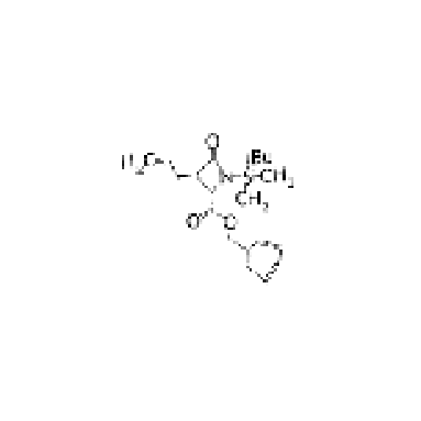 C=CC[C@H]1C(=O)N([Si](C)(C)C(C)(C)C)[C@@H]1C(=O)OCc1ccccc1